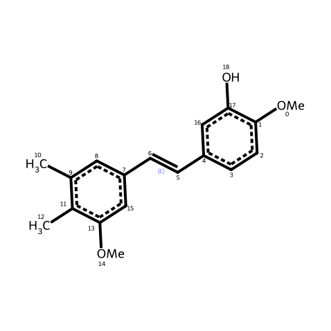 COc1ccc(/C=C/c2cc(C)c(C)c(OC)c2)cc1O